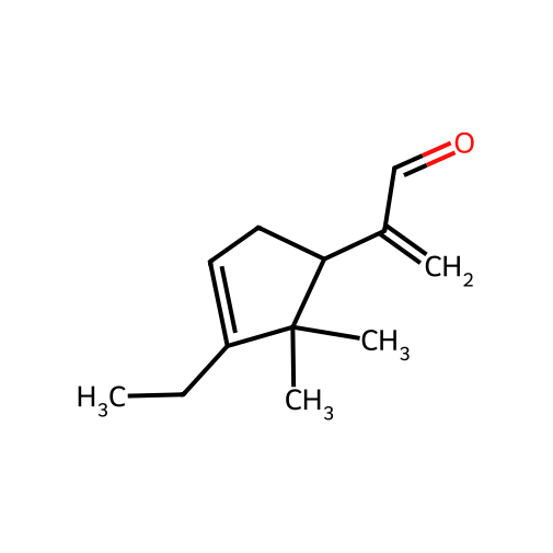 C=C(C=O)C1CC=C(CC)C1(C)C